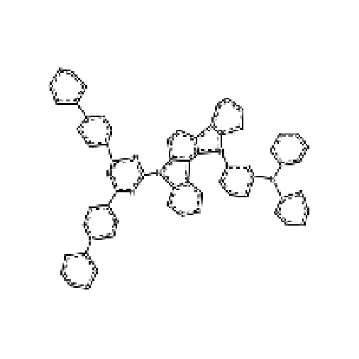 c1ccc(B(c2ccccc2)c2cccc(-n3c4ccccc4c4ccc5c(c6ccccc6n5-c5nc(-c6ccc(-c7ccccc7)cc6)nc(-c6ccc(-c7ccccc7)cc6)n5)c43)c2)cc1